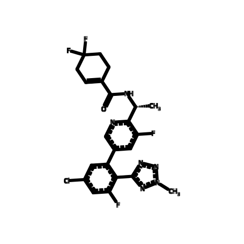 C[C@@H](NC(=O)C1=CCC(F)(F)CC1)c1ncc(-c2cc(Cl)cc(F)c2-c2nnn(C)n2)cc1F